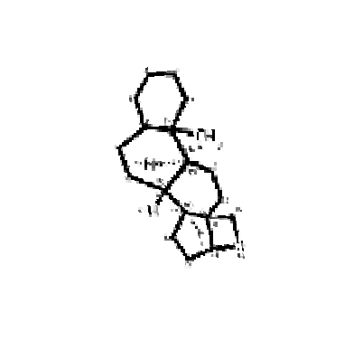 C[C@]12CCCCC1CC[C@H]1[C@@H]3CCC4OC[C@@]43CC[C@@H]12